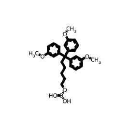 COc1cccc(C(CCCCCOB(O)O)(c2cccc(OC)c2)c2cccc(OC)c2)c1